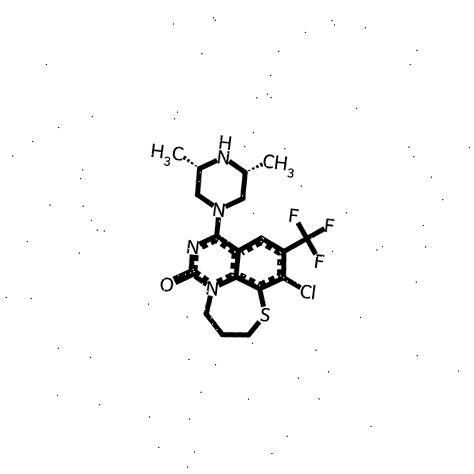 C[C@@H]1CN(c2nc(=O)n3c4c(c(Cl)c(C(F)(F)F)cc24)SCCC3)C[C@H](C)N1